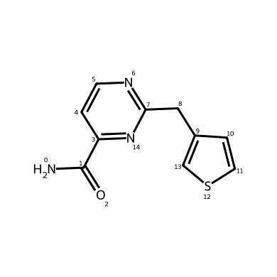 NC(=O)c1ccnc(Cc2ccsc2)n1